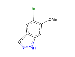 COc1cc2[nH]ncc2cc1Br